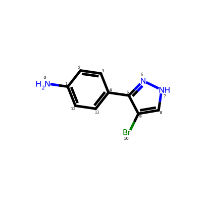 Nc1ccc(-c2n[nH]cc2Br)cc1